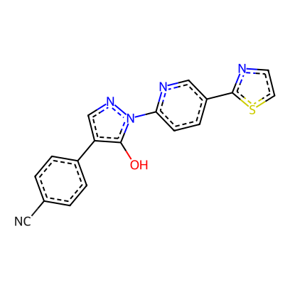 N#Cc1ccc(-c2cnn(-c3ccc(-c4nccs4)cn3)c2O)cc1